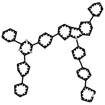 c1ccc(-c2ccc(-c3ccc(-n4c5ccc(-c6ccccc6)cc5c5ccc(-c6ccc(-c7nc(-c8ccccc8)nc(-c8ccc(-c9ccccc9)cc8)n7)cc6)cc54)cc3)cc2)cc1